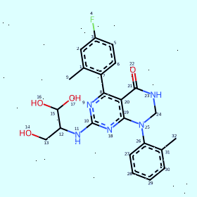 Cc1cc(F)ccc1-c1nc(NC(CO)C(O)O)nc2c1C(=O)NCN2c1ccccc1C